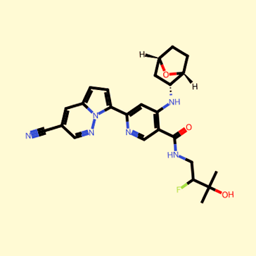 CC(C)(O)C(F)CNC(=O)c1cnc(-c2ccc3cc(C#N)cnn23)cc1N[C@@H]1C[C@@H]2CC[C@H]1O2